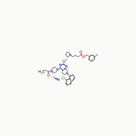 C=CC(=O)N1CCN(c2nc(OC[C@@H]3CCCN3CCCC(=O)OCc3cccc(I)c3)nc3c2CCN(c2cccc4cccc(Cl)c24)C3)C[C@@H]1CC#N